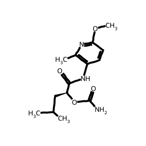 COc1ccc(NC(=O)[C@H](CC(C)C)OC(N)=O)c(C)n1